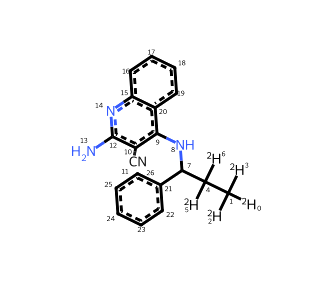 [2H]C([2H])([2H])C([2H])([2H])C(Nc1c(C#N)c(N)nc2ccccc12)c1ccccc1